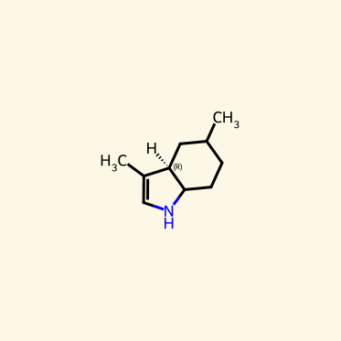 CC1=CNC2CCC(C)C[C@H]12